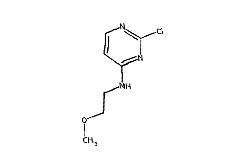 COCCNc1ccnc(Cl)n1